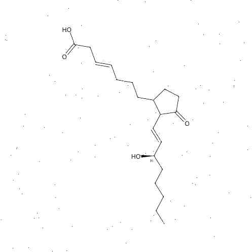 CCCCC[C@@H](O)/C=C/C1C(=O)CCC1CCC/C=C/CC(=O)O